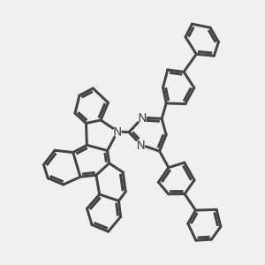 c1ccc(-c2ccc(-c3cc(-c4ccc(-c5ccccc5)cc4)nc(-n4c5ccccc5c5c6ccccc6c6c7ccccc7ccc6c54)n3)cc2)cc1